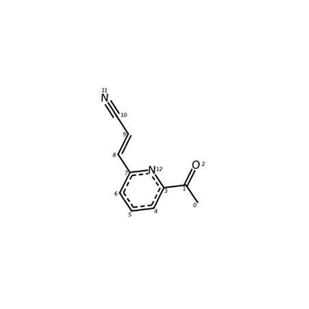 CC(=O)c1cccc(C=CC#N)n1